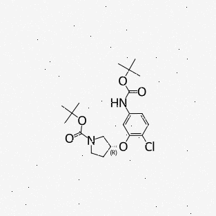 CC(C)(C)OC(=O)Nc1ccc(Cl)c(O[C@@H]2CCN(C(=O)OC(C)(C)C)C2)c1